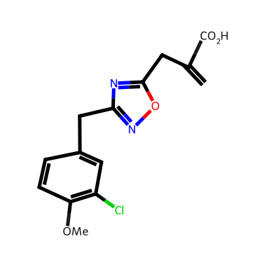 C=C(Cc1nc(Cc2ccc(OC)c(Cl)c2)no1)C(=O)O